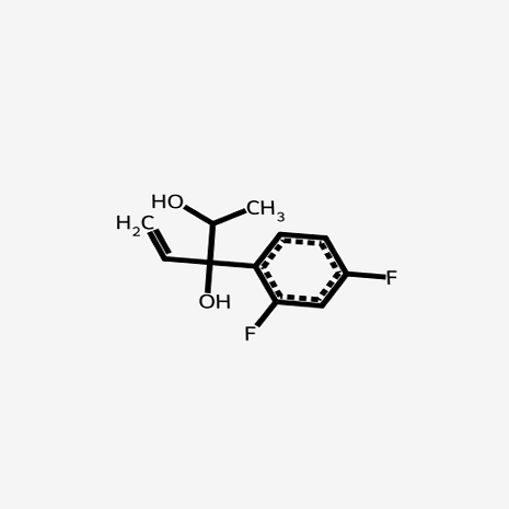 C=CC(O)(c1ccc(F)cc1F)C(C)O